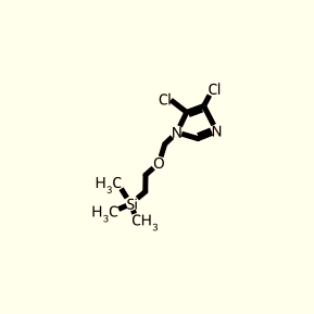 C[Si](C)(C)CCOCn1cnc(Cl)c1Cl